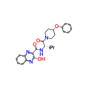 CC(C)[C@H](NC(=O)c1nc2ccccc2nc1O)C(=O)N1CCC(Oc2ccccc2)CC1